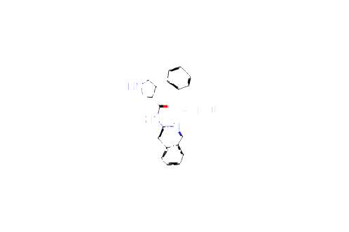 Cl.Cl.O=C(Nc1cc2ccccc2cn1)[C@H]1CNC[C@@H]1c1ccccc1